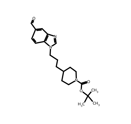 CC(C)(C)OC(=O)N1CCC(CCCn2cnc3cc(C=O)ccc32)CC1